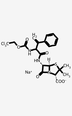 C=C(c1ccccc1)C(NC(=O)OCC(Cl)(Cl)Cl)C(=O)N[C@H]1C(=O)N2[C@@H]1SC(C)(C)[C@@H]2C(=O)[O-].[Na+]